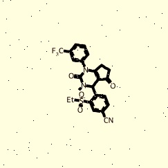 CCS(=O)(=O)c1cc(C#N)ccc1C1C2=C(CCC2=O)N(c2cccc(C(F)(F)F)c2)C(=O)N1C